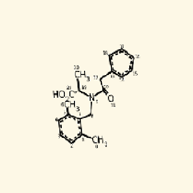 Cc1cccc(C)c1CN(C(=O)Cc1ccccc1)[C@@H](C)C(=O)O